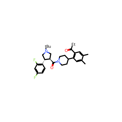 CCC(=O)c1cc(C)c(C)cc1C1CCN(C(=O)[C@@H]2CN(C(C)(C)C)C[C@H]2c2ccc(F)cc2F)CC1